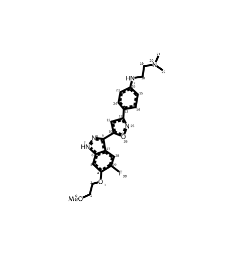 COCCOc1cc2[nH]nc(-c3cc(-c4ccc(NCCN(C)C)cc4)no3)c2cc1F